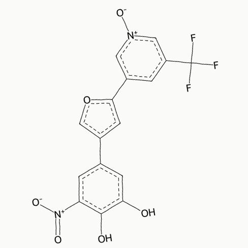 O=[N+]([O-])c1cc(-c2coc(-c3cc(C(F)(F)F)c[n+]([O-])c3)c2)cc(O)c1O